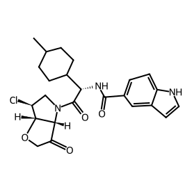 CC1CCC([C@H](NC(=O)c2ccc3[nH]ccc3c2)C(=O)N2C[C@H](Cl)[C@H]3OCC(=O)[C@H]32)CC1